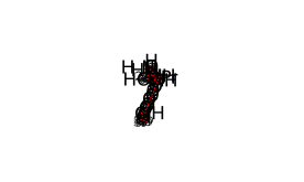 CC(C)[C@H](NC(=O)CCOCCOCCOCCOCCOCCOCCNC(=O)OCC1c2ccccc2-c2ccccc21)C(=O)N[C@@H](CCCNC(N)=O)C(=O)Nc1ccc(CO)cc1